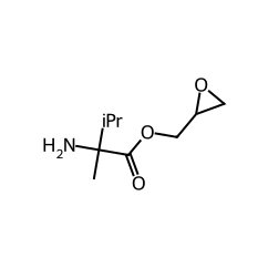 CC(C)C(C)(N)C(=O)OCC1CO1